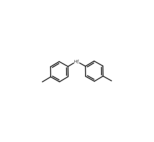 Cc1cc[c]([Hf][c]2ccc(C)cc2)cc1